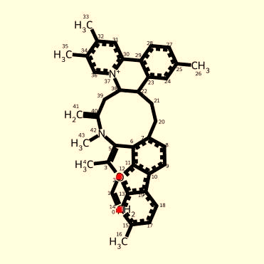 C=CS/C(C)=C1\c2c(ccc3c2oc2nc(C)ccc23)CCC2c3cc(C)ccc3-c3cc(C)c(C)c[n+]3C2CC(=C)N1C